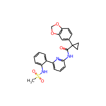 CS(=O)(=O)Nc1ccccc1-c1cccc(NC(=O)C2(c3ccc4c(c3)OCO4)CC2)n1